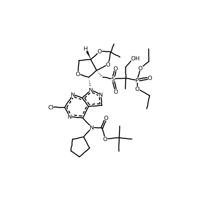 CCOP(=O)(OCC)C(C)(CO)S(=O)(=O)C[C@@]12OC(C)(C)O[C@H]1CO[C@H]2n1ncc2c(N(C(=O)OC(C)(C)C)C3CCCC3)nc(Cl)nc21